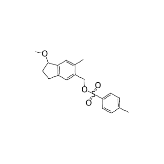 COC1CCc2cc(COS(=O)(=O)c3ccc(C)cc3)c(C)cc21